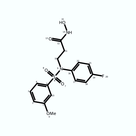 COc1cccc(S(=O)(=O)N(CCC(=O)NO)c2ccc(F)cc2)c1